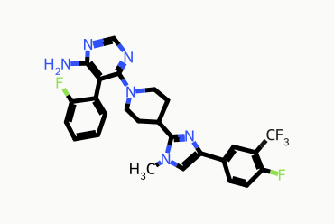 Cn1cc(-c2ccc(F)c(C(F)(F)F)c2)nc1C1CCN(c2ncnc(N)c2-c2ccccc2F)CC1